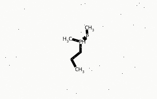 CCC/[PH](C)=P/C